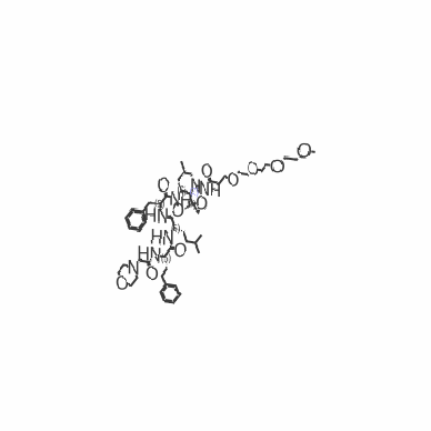 COCCOCCOCCOCCC(=O)N/N=C(/[C@H](CC(C)C)NC(=O)[C@H](Cc1ccccc1)NC(=O)[C@H](CCC(C)C)NC(=O)[C@H](CCc1ccccc1)NC(=O)CN1CCOCC1)[C@@]1(C)CO1